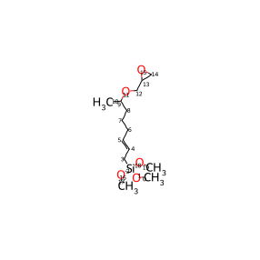 CO[Si](CC=CCCCC(C)OCC1CO1)(OC)OC